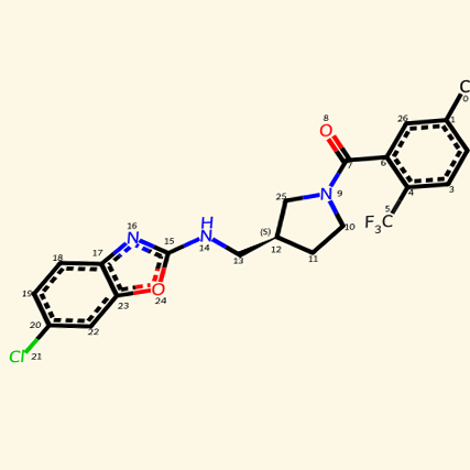 Cc1ccc(C(F)(F)F)c(C(=O)N2CC[C@@H](CNc3nc4ccc(Cl)cc4o3)C2)c1